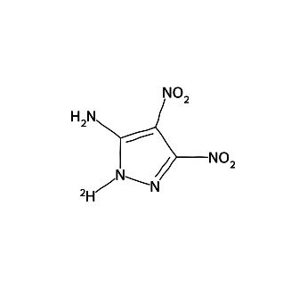 [2H]n1nc([N+](=O)[O-])c([N+](=O)[O-])c1N